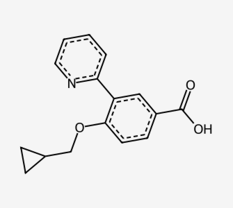 O=C(O)c1ccc(OCC2CC2)c(-c2ccccn2)c1